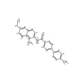 Cc1ccc(-c2ccc(C(=O)Nc3ccc4cc(CCl)cnc4c3C)cc2)cc1